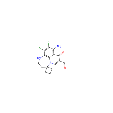 Nc1c(F)c(F)c2c3c1c(=O)c(C=O)cn3C1(CCC1)CCN2